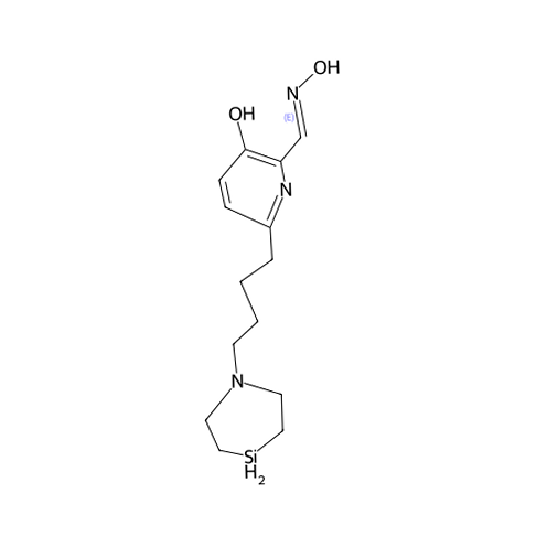 O/N=C/c1nc(CCCCN2CC[SiH2]CC2)ccc1O